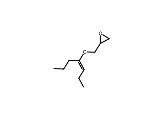 CCC=C(CCC)OCC1CO1